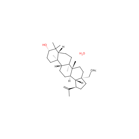 C=C(C)[C@@H]1CC[C@]2(COC(C)=O)CC[C@]3(C)[C@H](CC[C@@H]4[C@@]5(C)CC[C@H](O)C(C)(C)[C@@H]5CC[C@]43C)[C@@H]12.O